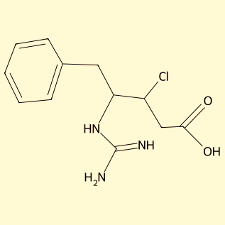 N=C(N)NC(Cc1ccccc1)C(Cl)CC(=O)O